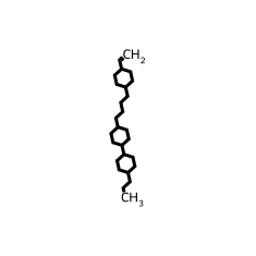 C=CC1CCC(CCCCC2CCC(C3CCC(CCC)CC3)CC2)CC1